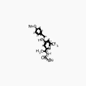 COc1ccc(CNc2cc(C(C)N[S@+]([O-])C(C)(C)C)nc(C(F)(F)F)c2)cc1